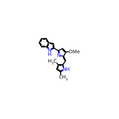 COC1=CC(c2cc3ccccc3[nH]2)=NC1=Cc1[nH]c(C)cc1C